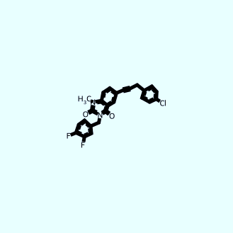 Cn1c(=O)n(Cc2ccc(F)c(F)c2)c(=O)c2cc(C#CCc3ccc(Cl)cc3)ccc21